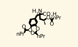 CCCC(=O)Oc1ccc(CC(N)(C[C@H](C)OC(=O)CCC)C(=O)O)cc1OC(=O)CCC